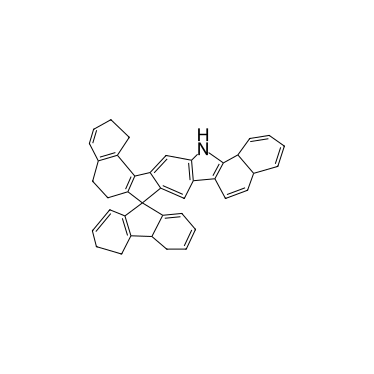 C1=CCC2C(=C1)C1(C3=C2CCC=C3)C2=C(C3=C(C=CCC3)CC2)c2cc3[nH]c4c(c3cc21)C=CC1C=CC=CC41